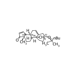 CCCC[Si](C)(C)O[C@H]1CC[C@@]2(C)C(=CC[C@@H]3[C@@H]2CC[C@]2(C)C(=O)C=C[C@@H]32)C1